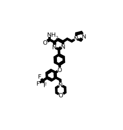 NC(=O)c1cc(CCn2ccnc2)nc(-c2ccc(Oc3ccc(C(F)(F)F)cc3CN3CCOCC3)cc2)n1